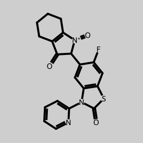 O=C1C2=C(CCCC2)[N+](=O)C1c1cc2c(cc1F)sc(=O)n2-c1ccccn1